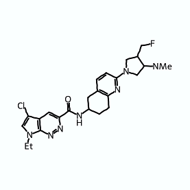 CCn1cc(Cl)c2cc(C(=O)NC3CCc4nc(N5CC(CF)C(NC)C5)ccc4C3)nnc21